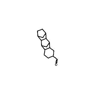 O=CC1CCC2C(C1)C1CC2C2C3CCC(C3)C12